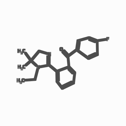 CCN1C(c2ccccc2C(=O)c2ccc(F)cc2)=NCC1(C)C